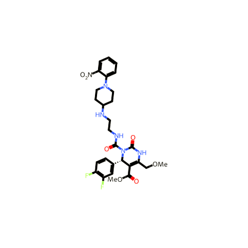 COCC1=C(C(=O)OC)[C@H](c2ccc(F)c(F)c2)N(C(=O)NCCNC2CCN(c3ccccc3[N+](=O)[O-])CC2)C(=O)N1